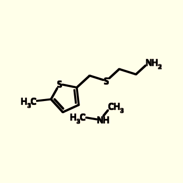 CNC.Cc1ccc(CSCCN)s1